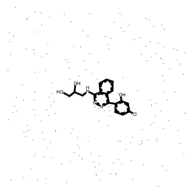 OCC(O)CNc1nnc(-c2ccc(Cl)cc2O)c2ccccc12